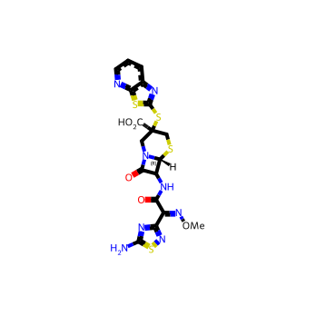 CON=C(C(=O)NC1C(=O)N2CC(Sc3nc4cccnc4s3)(C(=O)O)CS[C@H]12)c1nsc(N)n1